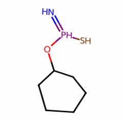 N=[PH](S)OC1CCCCC1